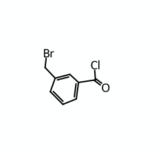 O=C(Cl)c1cccc(CBr)c1